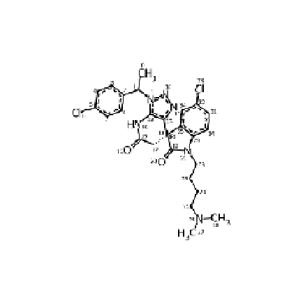 CC(c1ccc(Cl)cc1)n1nnc2c1NC(=O)C[C@]21C(=O)N(CCCCN(C)C)c2ccc(Cl)cc21